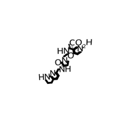 O=C(O)C[C@H](NC(=O)CN1CC[C@H](NCc2ccc3c(n2)NCCC3)C1=O)c1cccnc1